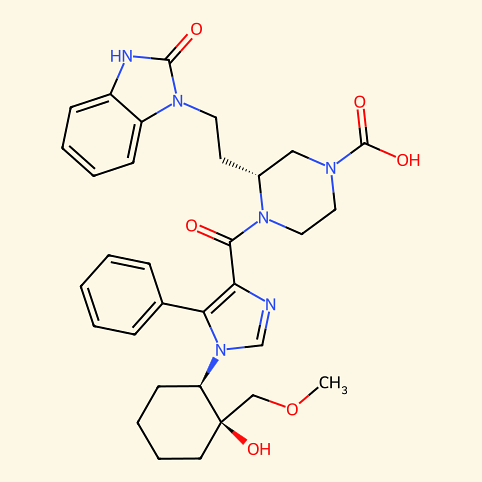 COC[C@]1(O)CCCC[C@H]1n1cnc(C(=O)N2CCN(C(=O)O)C[C@H]2CCn2c(=O)[nH]c3ccccc32)c1-c1ccccc1